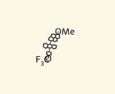 COc1ccc2ccc3c(-c4c5ccccc5c(-c5ccc(OC(F)(F)F)cc5)c5ccccc45)ccc4ccc1c2c43